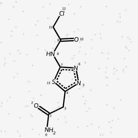 NC(=O)Cc1nnc(NC(=O)CCl)s1